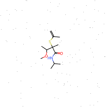 C=C(C)SC(C)(C(=O)NC(C)C)C(C)OC